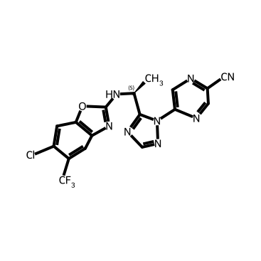 C[C@H](Nc1nc2cc(C(F)(F)F)c(Cl)cc2o1)c1ncnn1-c1cnc(C#N)cn1